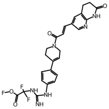 N=C(Nc1ccc(C2=CCN(C(=O)/C=C/c3cnc4c(c3)CCC(=O)N4)CC2)cc1)NC(F)(F)C(=O)OF